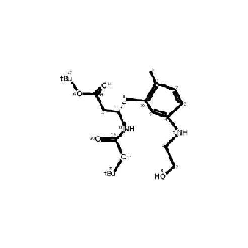 Cc1ccc(NCCO)cc1C[C@@H](CC(=O)OC(C)(C)C)NC(=O)OC(C)(C)C